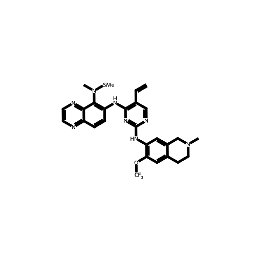 C=Cc1cnc(Nc2cc3c(cc2OC(F)(F)F)CCN(C)C3)nc1Nc1ccc2nccnc2c1N(C)SC